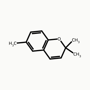 Cc1ccc2c(c1)C=CC(C)(C)O2